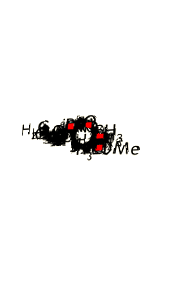 C=CC(=O)N1CCC2(CC1)CCN2C(=O)N(C)C(C(=O)N[C@H]1Cc2nc(cs2)-c2ccc3c(c2)c(c(-c2cccnc2[C@H](C)OC)n3CC)CC(C)(C)COC(=O)[C@@H]2CCCN(N2)C1=O)C(C)C